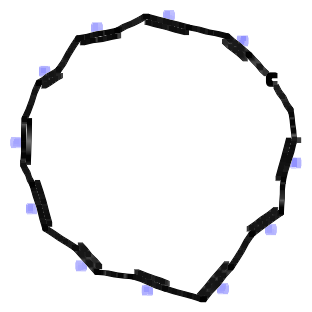 [C]1=C/C=C/C=C\C=C\C=C\C=C\C=C/C=C/C=C/C=C/C=C\CC/1